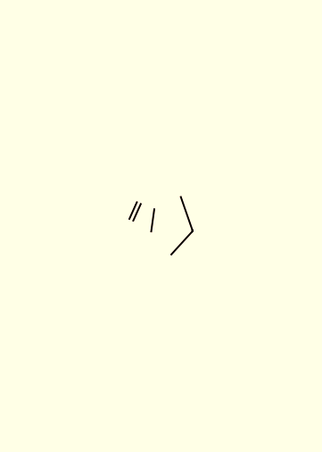 C=C.CC.CCC